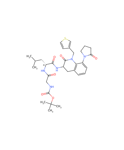 CC(C)C[C@@H](NC(=O)CNC(=O)OC(C)(C)C)C(=O)NC1Cc2cccc(N3CCCC3=O)c2N(Cc2ccsc2)C1=O